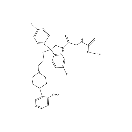 COc1ccccc1C1CCN(CCCC(CNC(=O)CNC(=O)OC(C)(C)C)(c2ccc(F)cc2)c2ccc(F)cc2)CC1